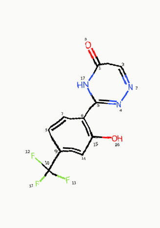 O=c1cnnc(-c2ccc(C(F)(F)F)cc2O)[nH]1